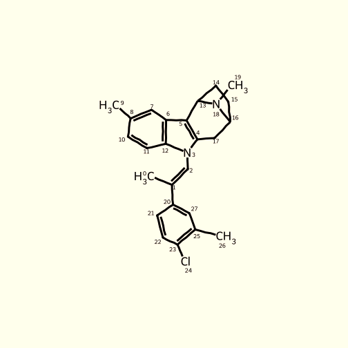 C/C(=C\n1c2c(c3cc(C)ccc31)C1CCC(C2)N1C)c1ccc(Cl)c(C)c1